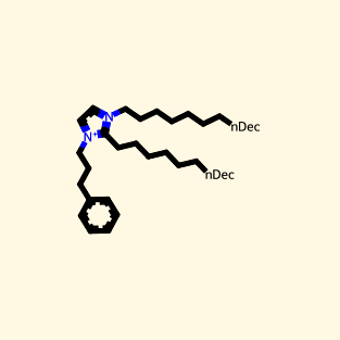 CCCCCCCCCCCCCCCCCn1cc[n+](CCCc2ccccc2)c1CCCCCCCCCCCCCCCC